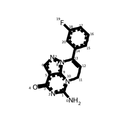 Nc1nc(=O)c2cnn3c2n1CC=C3c1cccc(F)c1